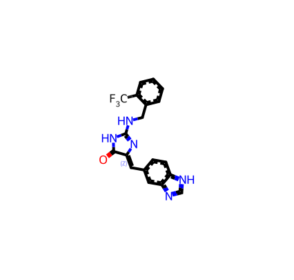 O=C1NC(NCc2ccccc2C(F)(F)F)=N/C1=C\c1ccc2[nH]cnc2c1